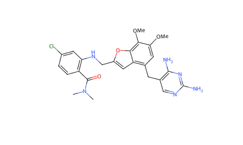 COc1cc(Cc2cnc(N)nc2N)c2cc(CNc3cc(Cl)ccc3C(=O)N(C)C)oc2c1OC